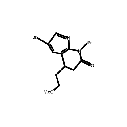 COCCC1CC(=O)N(C(C)C)c2ncc(Br)cc21